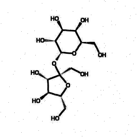 OC[C@H]1O[C@H](O[C@@]2(CO)O[C@H](CO)[C@@H](O)[C@@H]2O)[C@H](O)[C@@H](O)[C@H]1O